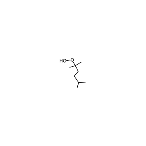 CC(C)CCC(C)(C)OO